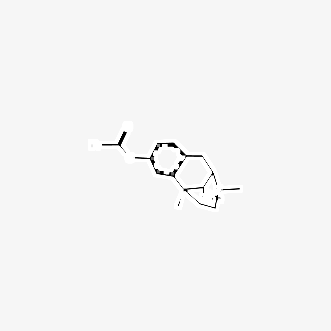 CN[C@@H]1C2Cc3ccc(OC(=O)C(C)C)cc3[C@@]1(C)CCN2C